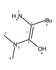 CCC(C)/C(N)=C(\O)N(C)C